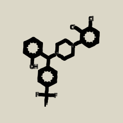 Oc1ccccc1C(c1ccc(C(F)(F)F)cc1)N1CCN(c2cccc(Cl)c2Cl)CC1